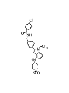 O=C(NCc1ccc(-c2cc3c(NC4CCS(=O)(=O)CC4)cccc3n2CC(F)(F)F)cc1)c1ccc(Cl)cc1